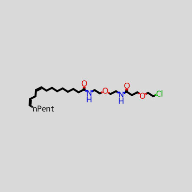 CCCCC/C=C\C/C=C\CCCCCCCC(=O)NCCOCCNC(=O)CCOCCCl